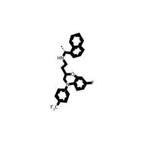 C[C@@H](NCCC1CN(c2ccc(C(F)(F)F)cc2)c2ccc(F)cc2O1)c1cccc2ccccc12